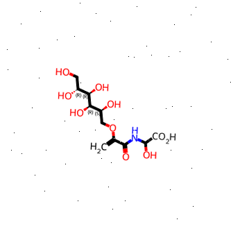 C=C(OC[C@H](O)[C@@H](O)[C@H](O)[C@H](O)CO)C(=O)NC(O)C(=O)O